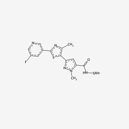 CSNC(=O)c1cc(-c2sc(-c3cncc(F)c3)nc2C)nn1C